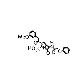 COc1cccc(CC(=O)N2CC3[C@@H](NC(=O)COc4ccccc4)C(=O)N3C2C(=O)O)c1